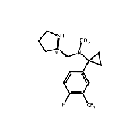 O=C(O)N(C[C@H]1CCCN1)C1(c2ccc(F)c(C(F)(F)F)c2)CC1